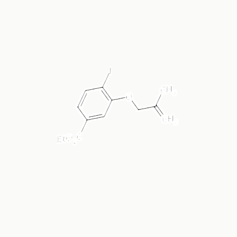 C=C(C)COc1cc(C(=O)OCC)ccc1I